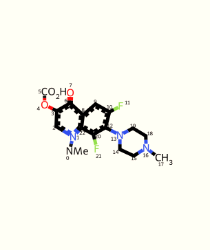 CNn1cc(OC(=O)O)c(=O)c2cc(F)c(N3CCN(C)CC3)c(F)c21